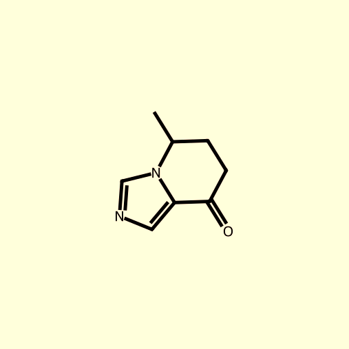 CC1CCC(=O)c2cncn21